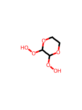 OOC1OCCOC1OO